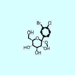 CO[C@@]1(c2ccc(Cl)c(Br)c2)O[C@H](CO)[C@@H](O)[C@H](O)[C@H]1O